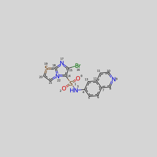 O=S(=O)(Nc1ccc2cnccc2c1)c1c(Br)nc2sccn12